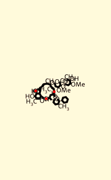 CO[C@H]1C[C@H](O[C@H]2[C@H](C)O[C@@H](O[C@@H]3/C(C)=C/C[C@@H]4C[C@@H](C[C@]5(CC[C@H](C)[C@@H](C6CCCCC6)O5)O4)OC(=O)C4C=C(C)[C@@H](O)[C@H]5OC/C(=C\C=C\[C@@H]3C)[C@@]45O)C[C@@H]2OC)O[C@@H](C)[C@@H]1O